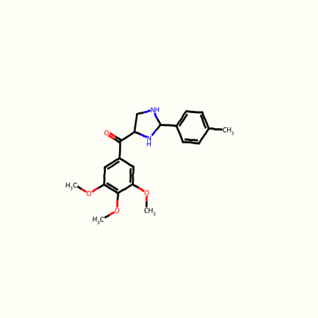 COc1cc(C(=O)C2CNC(c3ccc(C)cc3)N2)cc(OC)c1OC